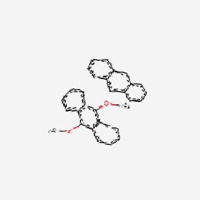 CCCCOc1c2ccccc2c(OCCCC)c2ccccc12.c1ccc2cc3ccccc3cc2c1